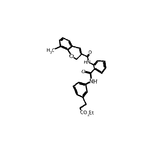 CCOC(=O)CCc1cccc(NC(=O)c2ccccc2NC(=O)C2=Cc3cccc(C)c3OC2)c1